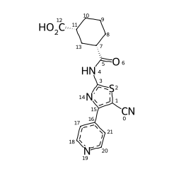 N#Cc1sc(NC(=O)[C@H]2CCC[C@@H](C(=O)O)C2)nc1-c1ccncc1